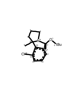 CC(C)(C)OC(=O)N1CCCC1(C)c1ccccc1Cl